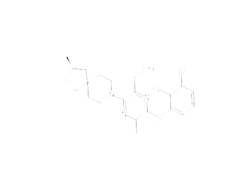 Cc1nc(N2CCC3(CC2)CO[C@@H](C)C3)c(CO)nc1Sc1cccc(Cl)c1Cl